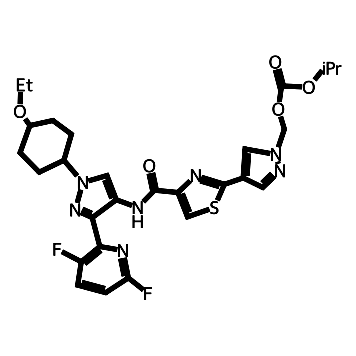 CCOC1CCC(n2cc(NC(=O)c3csc(-c4cnn(COC(=O)OC(C)C)c4)n3)c(-c3nc(F)ccc3F)n2)CC1